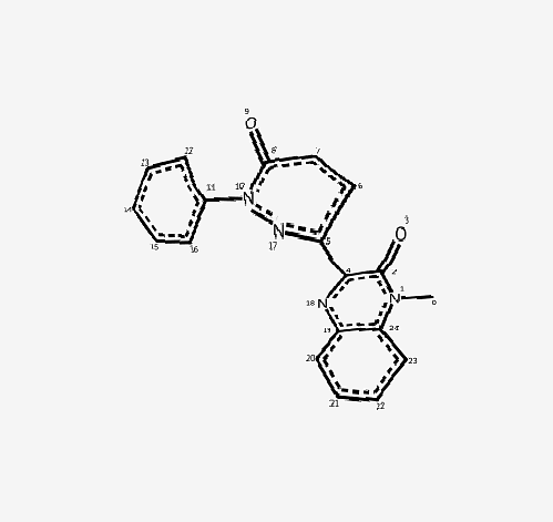 Cn1c(=O)c(-c2ccc(=O)n(-c3ccccc3)n2)nc2ccccc21